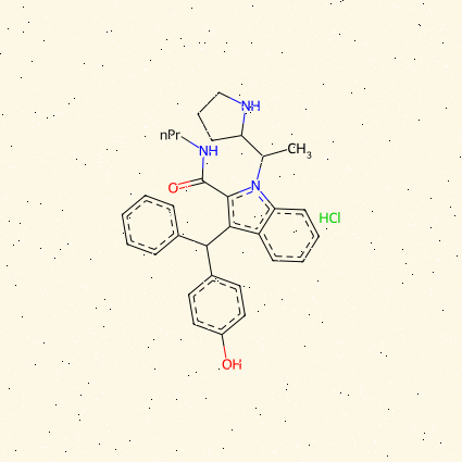 CCCNC(=O)c1c(C(c2ccccc2)c2ccc(O)cc2)c2ccccc2n1C(C)C1CCCN1.Cl